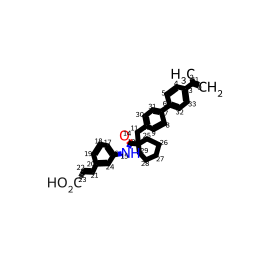 C=C(C)c1ccc(-c2ccc(CC3(C(=O)Nc4cccc(/C=C/C(=O)O)c4)CCCCC3)cc2)cc1